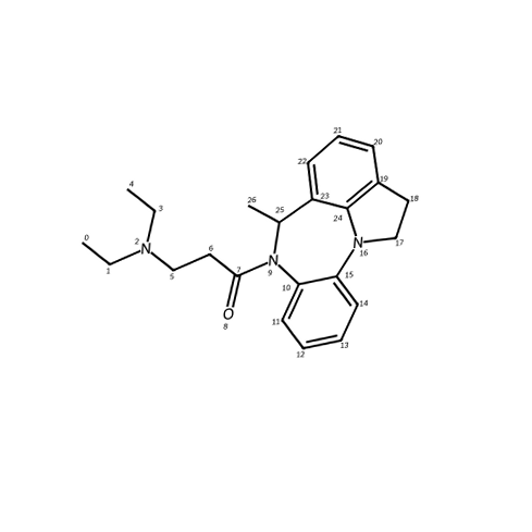 CCN(CC)CCC(=O)N1c2ccccc2N2CCc3cccc(c32)C1C